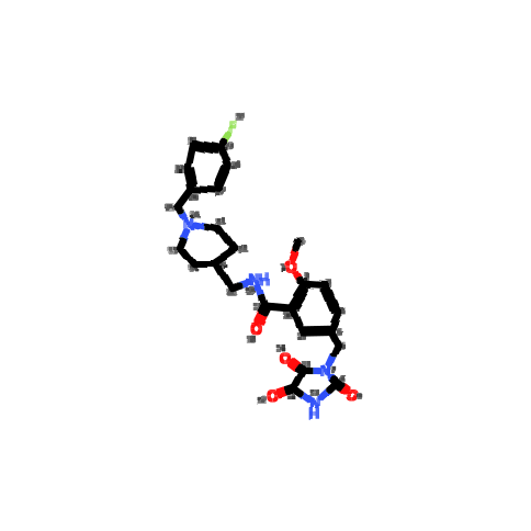 COc1ccc(CN2C(=O)NC(=O)C2=O)cc1C(=O)NCC1CCN(Cc2ccc(F)cc2)CC1